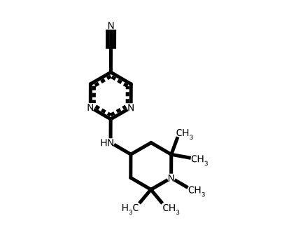 CN1C(C)(C)CC(Nc2ncc(C#N)cn2)CC1(C)C